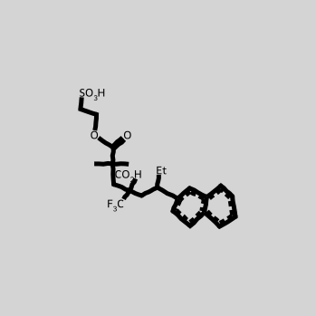 CCC(CC(CC(C)(C)C(=O)OCCS(=O)(=O)O)(C(=O)O)C(F)(F)F)c1ccc2ccccc2c1